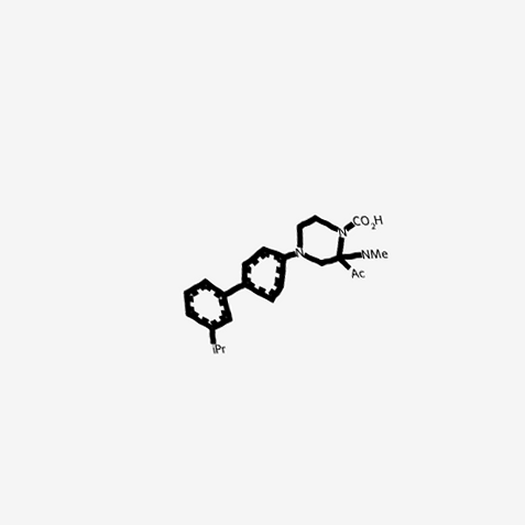 CNC1(C(C)=O)CN(c2ccc(-c3cccc(C(C)C)c3)cc2)CCN1C(=O)O